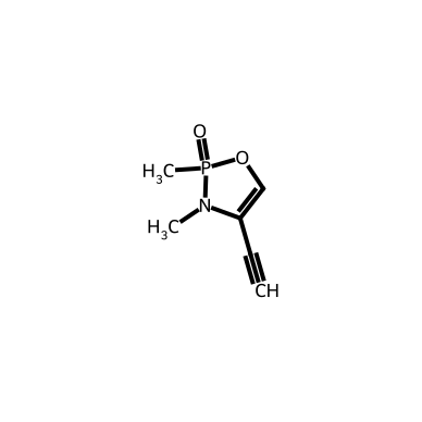 C#CC1=COP(C)(=O)N1C